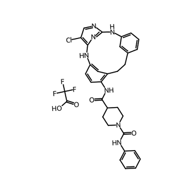 O=C(Nc1ccc2cc1CCc1cccc(c1)Nc1ncc(Cl)c(n1)N2)C1CCN(C(=O)Nc2ccccc2)CC1.O=C(O)C(F)(F)F